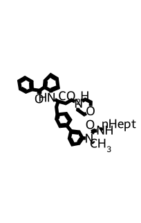 CCCCCCCNC(=O)N(C)c1cccc(-c2ccc(C[C@@](CCN3CCOCC3)(Nc3ccccc3C(=O)c3ccccc3)C(=O)O)cc2)c1